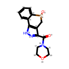 O=C(c1n[nH]c2c1C[S+]([O-])c1ccccc1-2)N1CCOCC1